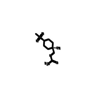 CS(=O)(=O)[C@H]1CC[C@@](C#N)(COC(N)=O)CC1